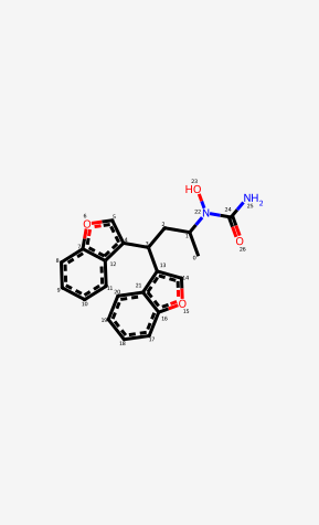 CC(CC(c1coc2ccccc12)c1coc2ccccc12)N(O)C(N)=O